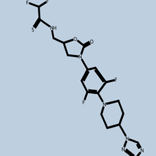 O=C1OC(CNC(=S)C(F)F)CN1c1cc(F)c(N2CCC(n3cnnn3)CC2)c(F)c1